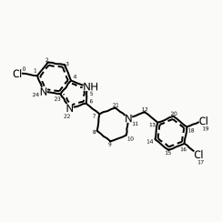 Clc1ccc2[nH]c(C3CCCN(Cc4ccc(Cl)c(Cl)c4)C3)nc2n1